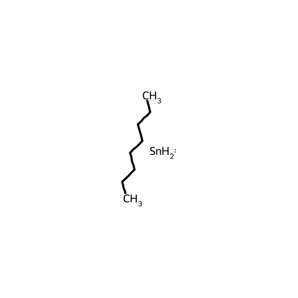 CCCCCCCC.[SnH2]